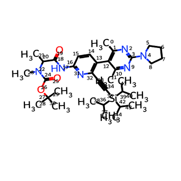 Cc1nc(N2CCCC2)nc(C)c1-c1ccc(NC(=O)C(C)N(C)C(=O)OC(C)(C)C)nc1C#C[Si](C(C)C)(C(C)C)C(C)C